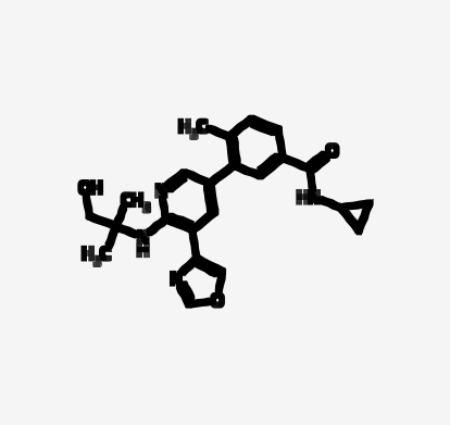 Cc1ccc(C(=O)NC2CC2)cc1-c1cnc(NC(C)(C)CO)c(-c2cocn2)c1